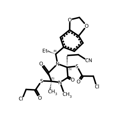 CC[C@H](c1ccc2c(c1)OCO2)N1C(=O)[C@](C)(SC(=O)CCl)N(C)C(=O)[C@]1(CCC#N)SC(=O)CCl